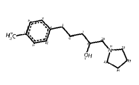 Cc1ccc(CCCC(O)CN2CCCC2)cc1